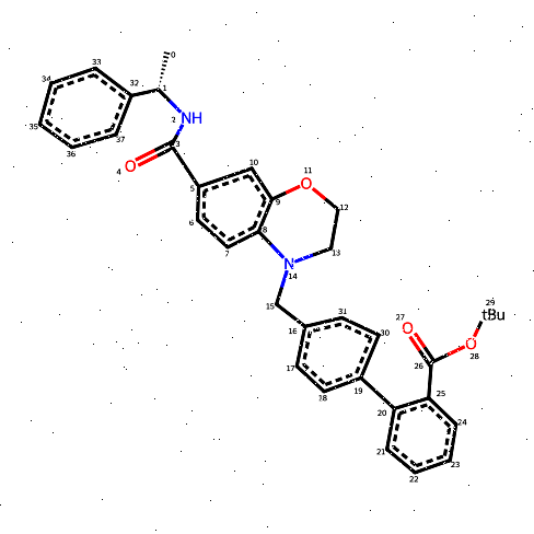 C[C@H](NC(=O)c1ccc2c(c1)OCCN2Cc1ccc(-c2ccccc2C(=O)OC(C)(C)C)cc1)c1ccccc1